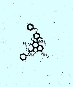 Cc1cc(Oc2ccccc2)ccc1C1(N)C(=O)C(N)c2c(C(=O)NC3CCCCC3)sc3c(N)ccc1c23